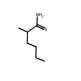 CCCCC(C)C(N)=S